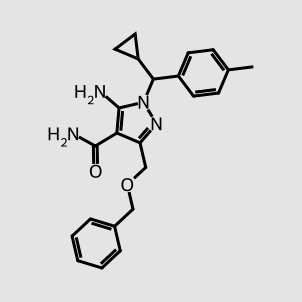 Cc1ccc(C(C2CC2)n2nc(COCc3ccccc3)c(C(N)=O)c2N)cc1